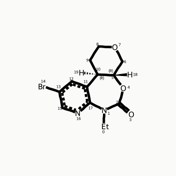 CCN1C(=O)O[C@H]2COCC[C@@H]2c2cc(Br)cnc21